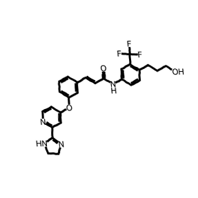 O=C(/C=C/c1cccc(Oc2ccnc(C3=NCCN3)c2)c1)Nc1ccc(CCCO)c(C(F)(F)F)c1